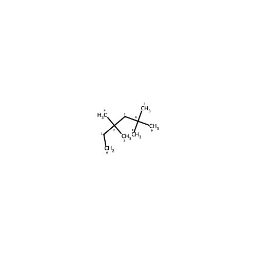 [CH2]CC(C)(C)CC(C)(C)C